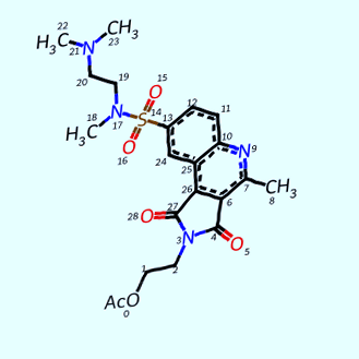 CC(=O)OCCN1C(=O)c2c(C)nc3ccc(S(=O)(=O)N(C)CCN(C)C)cc3c2C1=O